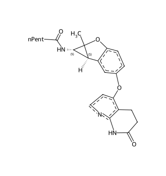 CCCCCC(=O)N[C@H]1[C@@H]2c3cc(Oc4ccnc5c4CCC(=O)N5)ccc3OC12C